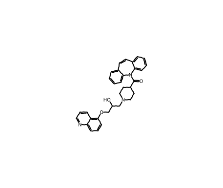 O=C(C1CCN(CC(O)COc2cccc3ncccc23)CC1)N1c2ccccc2C=Cc2ccccc21